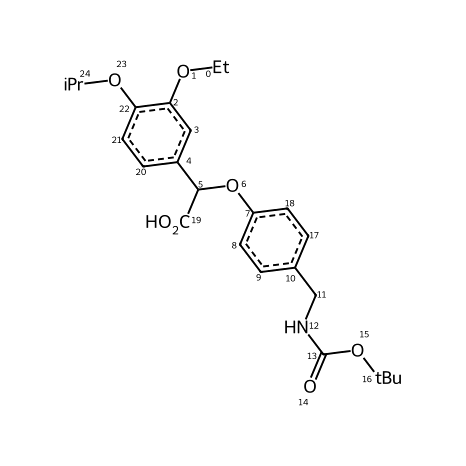 CCOc1cc(C(Oc2ccc(CNC(=O)OC(C)(C)C)cc2)C(=O)O)ccc1OC(C)C